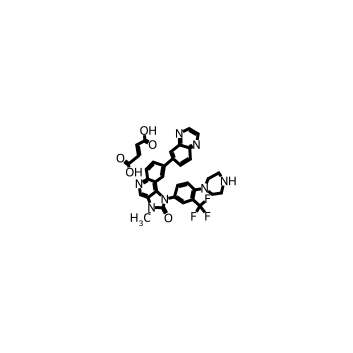 Cn1c(=O)n(-c2ccc(N3CCNCC3)c(C(F)(F)F)c2)c2c3cc(-c4ccc5nccnc5c4)ccc3ncc21.O=C(O)C=CC(=O)O